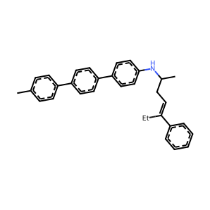 CC/C(=C\CC(C)Nc1ccc(-c2ccc(-c3ccc(C)cc3)cc2)cc1)c1ccccc1